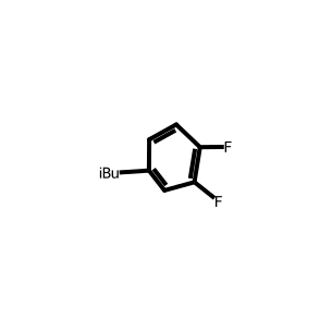 [CH2]C(CC)c1ccc(F)c(F)c1